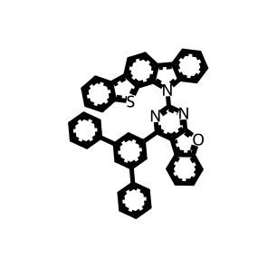 c1ccc(-c2cc(-c3ccccc3)cc(-c3nc(-n4c5ccccc5c5ccc6c7ccccc7sc6c54)nc4oc5ccccc5c34)c2)cc1